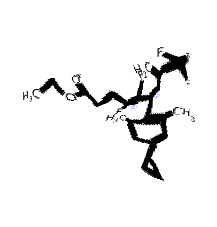 C=C(/C=C(\C(F)=C(/F)CCC(=O)OCC)c1c(C)cc(C2CC2)cc1C)C(F)(F)F